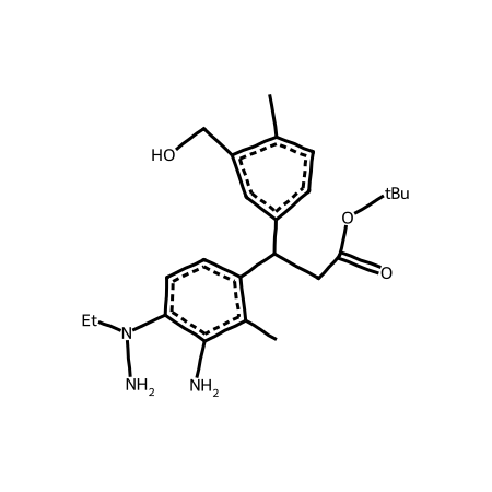 CCN(N)c1ccc(C(CC(=O)OC(C)(C)C)c2ccc(C)c(CO)c2)c(C)c1N